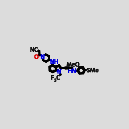 COc1cc(SC)ccc1NCC#Cc1cc2c(NC3CCN(C(=O)CC#N)CC3)cccc2n1CC(F)(F)F